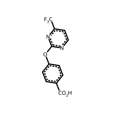 O=C(O)c1ccc(Oc2nccc(C(F)(F)F)n2)cc1